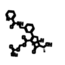 C[C@@H](O)[C@H]1C(=O)N2C(C(=O)OCOC(=O)C(C)(C)C)=C(c3cccc(CNC(=O)c4ccccn4)c3)C[C@H]12